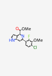 COC(=O)c1nc(-c2ccc(Cl)c(OC)c2F)cc2[nH]ccc12